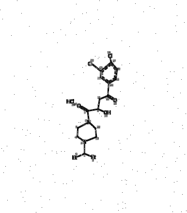 CCC(CC)N1CCN(C(=O)C(O)CC(=O)c2ccc(Cl)c(Cl)c2)CC1.Cl